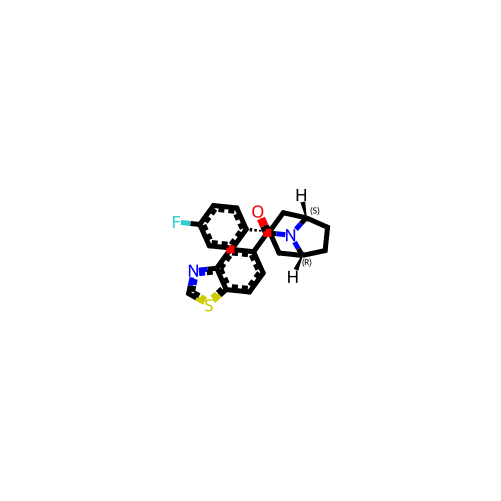 O=C(c1ccc2scnc2c1)N1[C@@H]2CC[C@H]1C[C@@H](c1ccc(F)cc1)C2